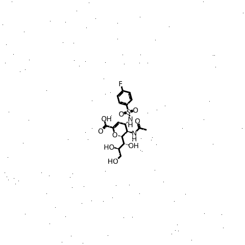 CC(=O)N[C@H]1[C@H]([C@H](O)[C@H](O)CO)OC(C(=O)O)=C[C@@H]1NS(=O)(=O)c1ccc(F)cc1